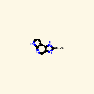 CNc1nc2cnc3[nH]ccc3c2[nH]1